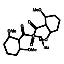 CCC(C)CP(=O)(C(=O)C1C(OC)CCCC1OC)C(=O)C1C(OC)CCCC1OC